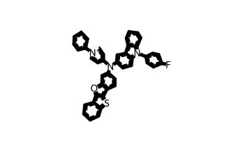 Fc1ccc(-n2c3ccccc3c3cc(N(c4cc[n+](-c5ccccc5)cc4)c4ccc5c(c4)oc4c6ccccc6sc54)ccc32)cc1